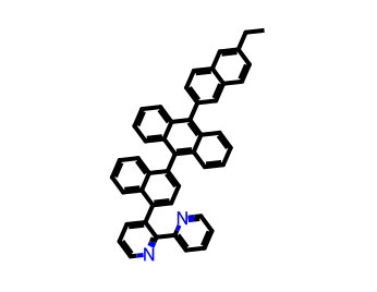 CCc1ccc2cc(-c3c4ccccc4c(-c4ccc(-c5cccnc5-c5ccccn5)c5ccccc45)c4ccccc34)ccc2c1